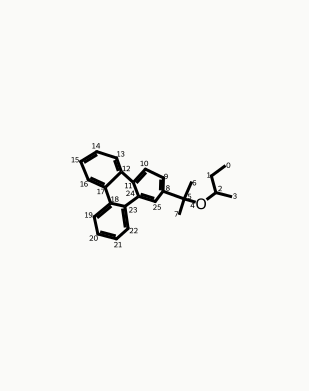 CCC(C)OC(C)(C)c1ccc2c3ccccc3c3ccccc3c2c1